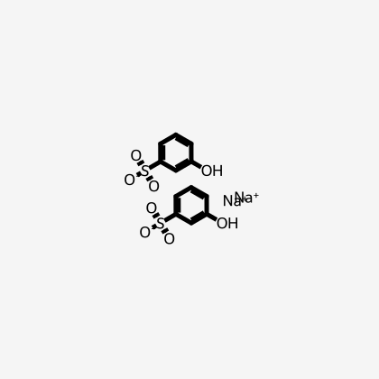 O=S(=O)([O-])c1cccc(O)c1.O=S(=O)([O-])c1cccc(O)c1.[Na+].[Na+]